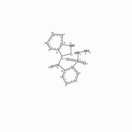 NNS(=O)(=O)c1ccccc1C(=O)C1CNc2ccccc21